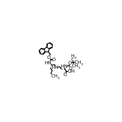 CCCC[C@@H](CNCC[C@H](NC(=O)OC(C)(C)C)C(=O)O)NC(=O)OCC1c2ccccc2-c2ccccc21